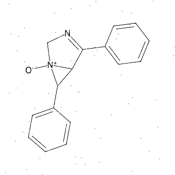 [O-][N+]12CN=C(c3ccccc3)C1C2c1ccccc1